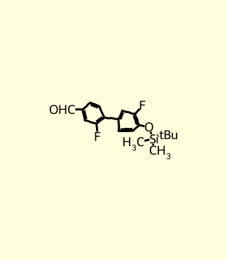 CC(C)(C)[Si](C)(C)Oc1ccc(-c2ccc(C=O)cc2F)cc1F